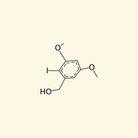 COc1cc(CO)c(I)c(OC)c1